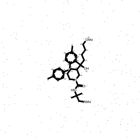 CNCC(C)(C)NC(=O)N1CCCC(C(O)(CCCCOC)c2cc(C)ccc2Oc2ccc(C)cc2)C1